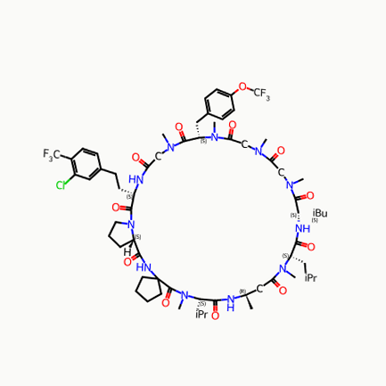 CC[C@H](C)[C@@H]1NC(=O)[C@H](CC(C)C)N(C)C(=O)C[C@@H](C)NC(=O)[C@H](C(C)C)N(C)C(=O)C2(CCCC2)NC(=O)[C@@H]2CCCN2C(=O)[C@H](CCc2ccc(C(F)(F)F)c(Cl)c2)NC(=O)CN(C)C(=O)[C@H](Cc2ccc(OC(F)(F)F)cc2)N(C)C(=O)CN(C)C(=O)CN(C)C1=O